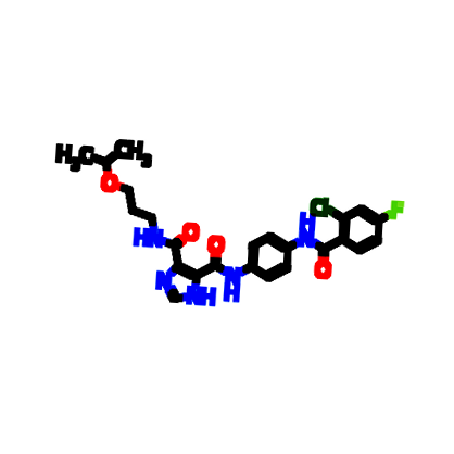 CC(C)OCCCNC(=O)c1nc[nH]c1C(=O)Nc1ccc(NC(=O)c2ccc(F)cc2Cl)cc1